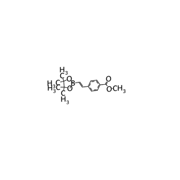 COC(=O)c1ccc(/C=C/B2OC(C)(C)C(C)(C)O2)cc1